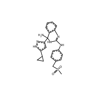 CS(=O)(=O)Cc1ccc(NC2=Nc3ccccc3C(N)(c3cc(C4CC4)[nH]n3)N2)cc1